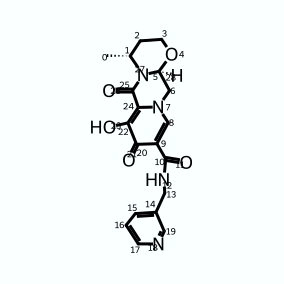 C[C@@H]1CCO[C@H]2Cn3cc(C(=O)NCc4cccnc4)c(=O)c(O)c3C(=O)N12